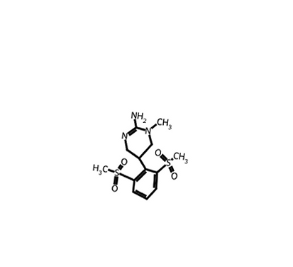 CN1CC(c2c(S(C)(=O)=O)cccc2S(C)(=O)=O)CN=C1N